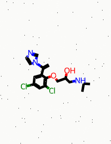 C=C(c1cc(Cl)cc(Cl)c1OCC(O)CNC(C)C)n1ccnc1